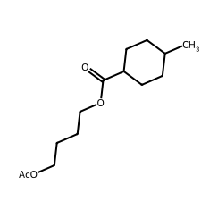 CC(=O)OCCCCOC(=O)C1CCC(C)CC1